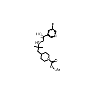 CC(C)(CC1CCN(C(=O)OC(C)(C)C)CC1)NC[C@H](O)c1cncc(F)c1